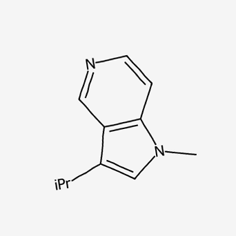 CC(C)c1cn(C)c2ccncc12